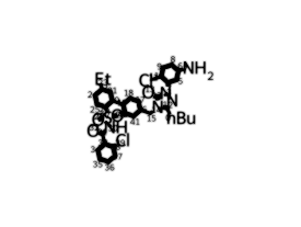 CCCCc1nn(-c2cc(N)ccc2Cl)c(=O)n1Cc1ccc(-c2cc(CC)ccc2S(=O)(=O)NC(=O)c2ccccc2Cl)cc1